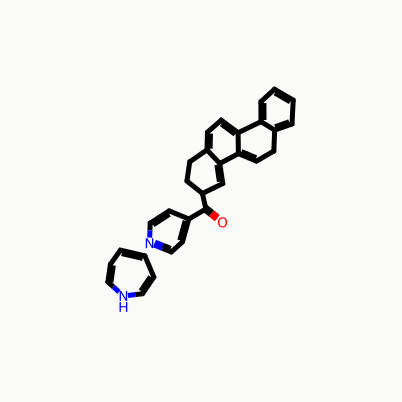 C1=CC=CNC=C1.O=C(c1ccncc1)C1C=c2c(ccc3c2=CCc2ccccc2-3)CC1